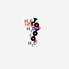 COc1ccc(F)c(-c2ccc(C3COc4ccc([C@H](C5CC5)[C@H](C)C(=O)O)cc4N3C)cc2)c1